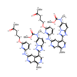 CNc1ncc(-c2nc3ccc(N(C)C(=O)OC(C)(C)C)cn3n2)c2cc(Nc3cccc(OCCCC(=O)OC)n3)ncc12.CNc1ncc(-c2nc3ccc(N(C)C(=O)OC(C)(C)C)cn3n2)c2cc(Nc3cccc(OCCCC(=O)OC)n3)ncc12